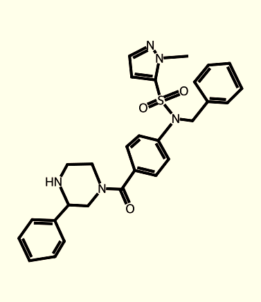 Cn1nccc1S(=O)(=O)N(Cc1ccccc1)c1ccc(C(=O)N2CCNC(c3ccccc3)C2)cc1